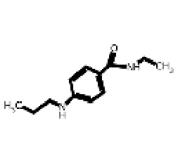 CCCNc1ccc(C(=O)NCC)cc1